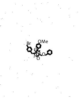 COc1ccc(C2SC3(COCc4ccccc4)C(=O)N(C)C(Cc4ccc(CBr)cc4)(S2)C(=O)N3C)cc1